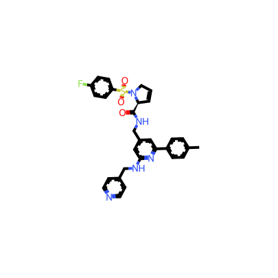 Cc1ccc(-c2cc(CNC(=O)[C@@H]3C=CCN3S(=O)(=O)c3ccc(F)cc3)cc(NCc3ccncc3)n2)cc1